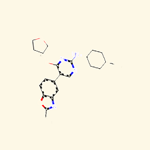 Cc1nc2cc(-c3cnc(N[C@H]4CC[C@H](C)CC4)nc3O[C@@H]3CCOC3)ccc2o1